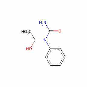 NC(=O)N(c1ccccc1)C(O)C(=O)O